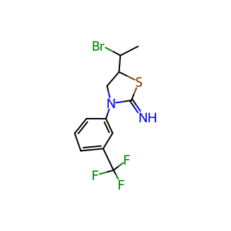 CC(Br)C1CN(c2cccc(C(F)(F)F)c2)C(=N)S1